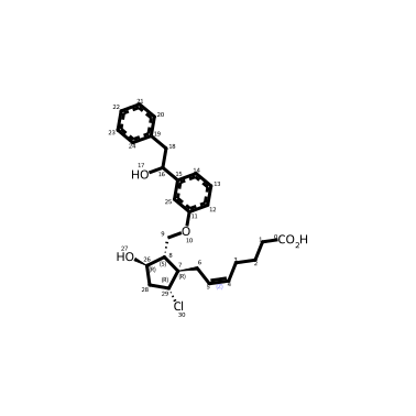 O=C(O)CCC/C=C\C[C@@H]1[C@@H](COc2cccc(C(O)Cc3ccccc3)c2)[C@H](O)C[C@H]1Cl